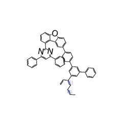 C=C/C(=C\C=C/C)c1cc(-c2ccccc2)cc(-c2ccc(-c3ccc4oc5cccc(-c6nc(-c7ccccc7)cc(-c7ccccc7)n6)c5c4c3)cc2)c1